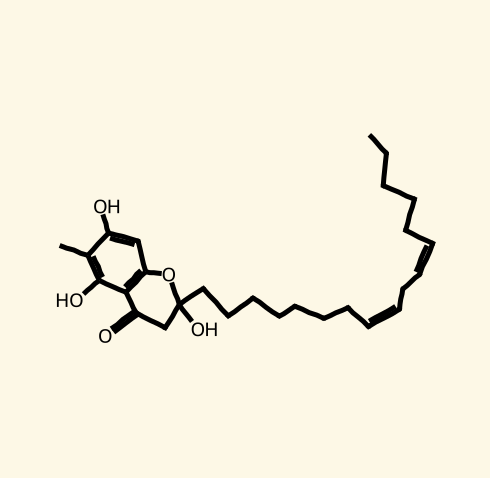 CCCCC/C=C\C/C=C\CCCCCCCC1(O)CC(=O)c2c(cc(O)c(C)c2O)O1